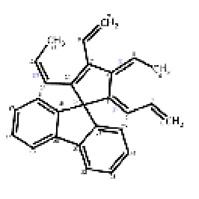 C=C/C=C1\C(=C/C)C(C=C)=C(/C=C\C)C12c1ccccc1-c1ccccc12